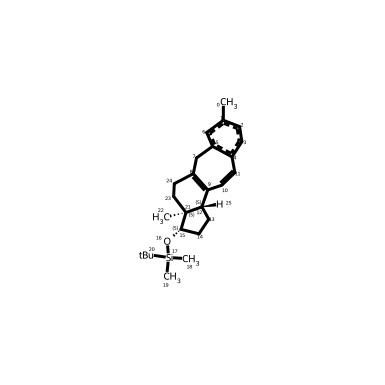 Cc1ccc2c(c1)CC1=C(C=C2)[C@@H]2CC[C@H](O[Si](C)(C)C(C)(C)C)[C@@]2(C)CC1